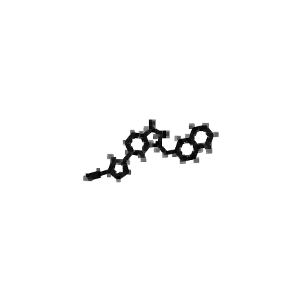 N#Cc1ccc(-c2ccc3c(n2)N(Cc2ccc4ncccc4c2)NN3)s1